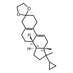 CC1(C2CC2)CC[C@H]2[C@@H]3CCC4=C(CCC5(C4)OCCO5)C3=CC[C@@]21C